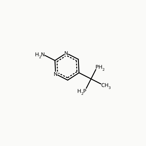 CC(P)(P)c1cnc(N)nc1